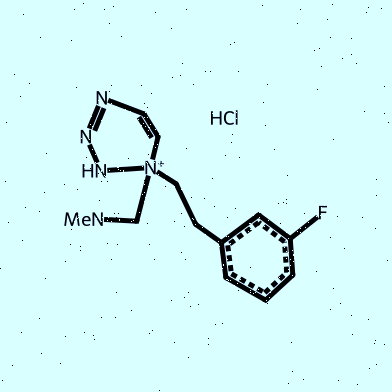 CNC[N+]1(CCc2cccc(F)c2)C=CN=NN1.Cl